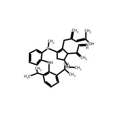 C=C(/C=C(\C)O)CC1=C(N(C)c2ccccc2Nc2c(C(C)C)cccc2C(C)C)CC(NC)C1C(=C)C=N